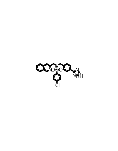 O=S(=O)(c1ccc(Cl)cc1)N(Cc1ccc(-c2nn[nH]n2)cc1)Cc1cc2ccccc2cn1